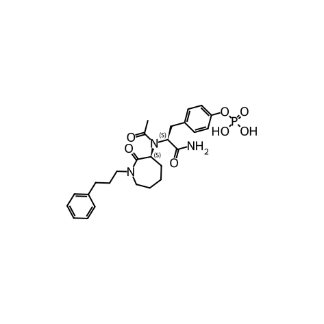 CC(=O)N([C@@H](Cc1ccc(OP(=O)(O)O)cc1)C(N)=O)[C@H]1CCCCN(CCCc2ccccc2)C1=O